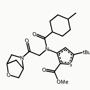 COC(=O)c1sc(C(C)(C)C)cc1N(CC(=O)N1CC2CC1CO2)C(=O)C1CCC(C)CC1